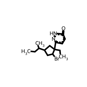 CCC(C)C1CC(Br)C(CC)(c2ccc(=O)[nH]n2)C1